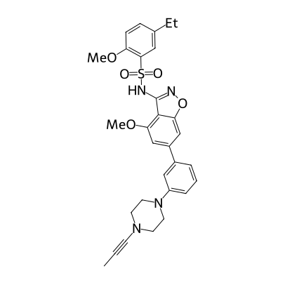 CC#CN1CCN(c2cccc(-c3cc(OC)c4c(NS(=O)(=O)c5cc(CC)ccc5OC)noc4c3)c2)CC1